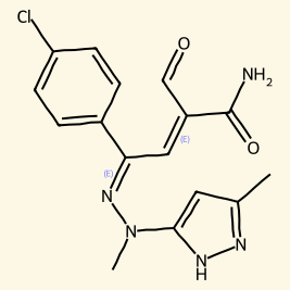 Cc1cc(N(C)/N=C(\C=C(/C=O)C(N)=O)c2ccc(Cl)cc2)[nH]n1